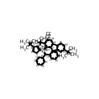 CC(C)(C)C1=CC[C]([Zr+2](=[C](c2ccccc2)c2ccccc2)[c]2c(C(C)(C)C)ccc3c2Cc2cc(C(C)(C)C)ccc2-3)=C1.[Cl-].[Cl-]